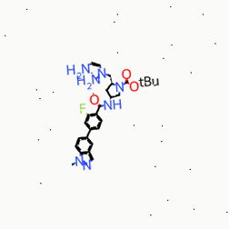 Cn1ncc2cc(-c3ccc(C(=O)N[C@@H]4C[C@@H](CN(N)/C=C\N)N(C(=O)OC(C)(C)C)C4)c(F)c3)ccc21